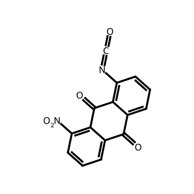 O=C=Nc1cccc2c1C(=O)c1c(cccc1[N+](=O)[O-])C2=O